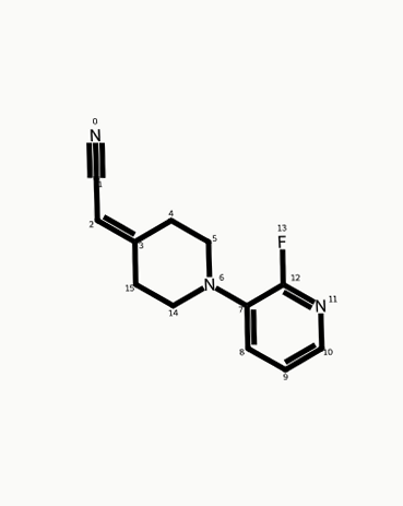 N#CC=C1CCN(c2cccnc2F)CC1